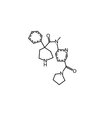 CN(C(=O)C1(c2ccccc2)CCNCC1)c1ccc(C(=O)N2CCCC2)cn1